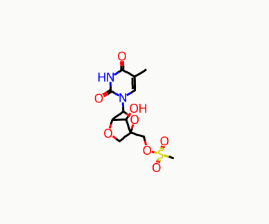 Cc1cn(C2OC3(COS(C)(=O)=O)COC2C3O)c(=O)[nH]c1=O